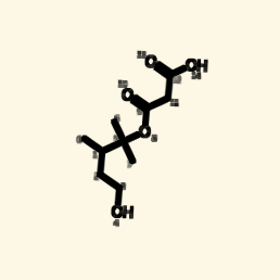 CC(CCO)C(C)(C)OC(=O)CC(=O)O